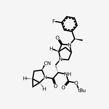 C[C@H](c1cccc(F)c1)N1C(=O)[C@@H]2CC1CN2C[C@H](NC(=O)OC(C)(C)C)C(=O)N1[C@H](C#N)C[C@@H]2C[C@@H]21